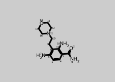 NC(=O)c1ccc(N)c(CCN2CCOCC2)c1N